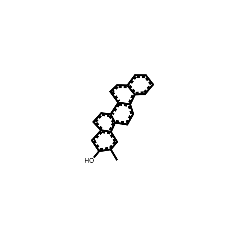 Cc1cc2c(ccc3c2ccc2c4ccccc4ccc23)cc1O